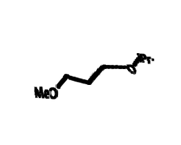 COCCCO[C](C)C